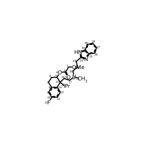 COCC(=O)OC1CCc2cc(F)ccc2C1(CCN(C)CCCc1nc2ccccc2[nH]1)C(C)C